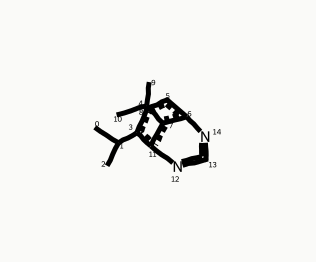 CC(C)c1ccc2c(C(C)C)c1N=C=N2